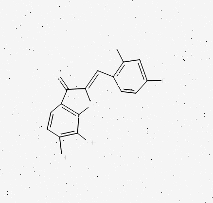 O=C1C(=Cc2ccc(F)cc2F)Oc2c1ccc(O)c2O